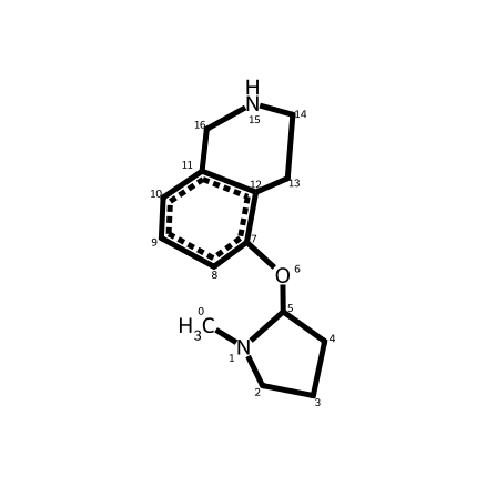 CN1CCCC1Oc1cccc2c1CCNC2